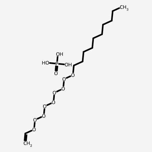 C=COOOOOOOOOCCCCCCCCCC.O=P(O)(O)O